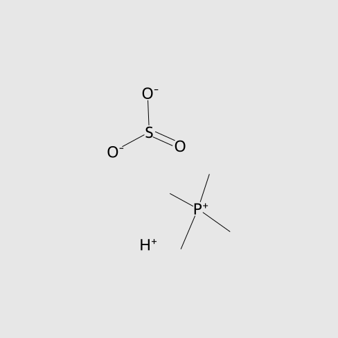 C[P+](C)(C)C.O=S([O-])[O-].[H+]